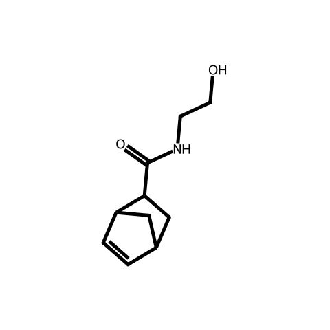 O=C(NCCO)C1CC2C=CC1C2